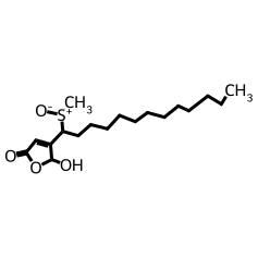 CCCCCCCCCCCCC(C1=CC(=O)OC1O)[S+](C)[O-]